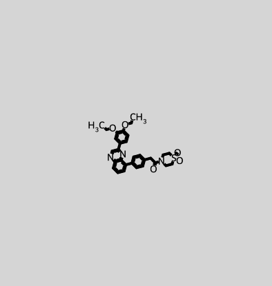 CCOc1ccc(-c2cnc3cccc(-c4ccc(CC(=O)N5CCS(=O)(=O)CC5)cc4)c3n2)cc1OCC